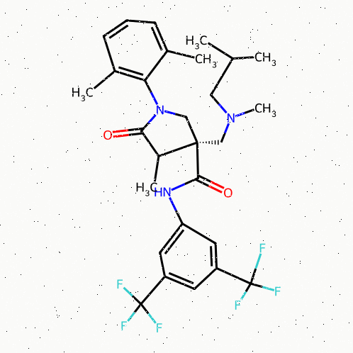 Cc1cccc(C)c1N1C[C@@](CN(C)CC(C)C)(C(=O)Nc2cc(C(F)(F)F)cc(C(F)(F)F)c2)C(C)C1=O